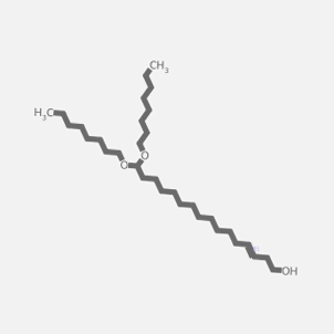 CCCCCCCCOC(CCCCCCCCCCC/C=C/CCO)OCCCCCCCC